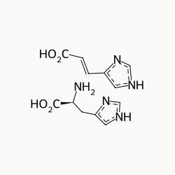 N[C@@H](Cc1c[nH]cn1)C(=O)O.O=C(O)C=Cc1c[nH]cn1